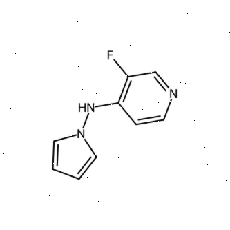 Fc1cnccc1Nn1cccc1